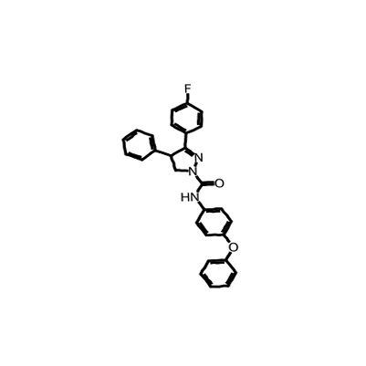 O=C(Nc1ccc(Oc2ccccc2)cc1)N1CC(c2ccccc2)C(c2ccc(F)cc2)=N1